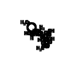 CCC1CCCCCCCC(CC(=O)NC2C[C@H](O[C@H]3C[C@](O)(C(=O)CO)Cc4c(O)c5c(c(O)c43)C(=O)c3c(OC)cccc3C5=O)OC(C)[C@H]2O)(C(O)O)CCCCC1